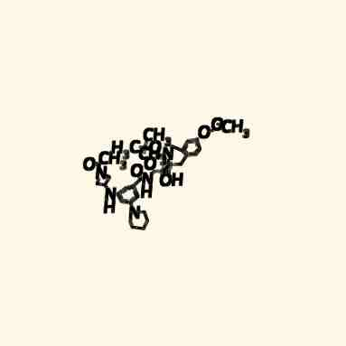 COCOc1ccc2c(c1)CN(C(=O)OC(C)(C)C)[C@H]([C@H](O)CNC(=O)c1cc(NC3CN(C(C)=O)C3)cc(N3CCCCC3)c1)C2